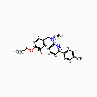 CCCCN(Cc1ccc(OCC(=O)O)c(C)c1)c1cccc(-c2ccc(C(F)(F)F)cc2)n1